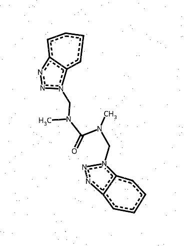 CN(Cn1nnc2ccccc21)C(=O)N(C)Cn1nnc2ccccc21